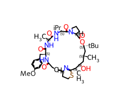 COc1ccc(C[C@@H]2NC(=O)CC[C@@H]3CCSC(=N3)[C@@H](C)[C@@H](O)C[C@H](C)C[C@@H](C(C)(C)C)OC(=O)[C@@H]3CCCN3C(=O)[C@H](C(C)C)NC(=O)[C@H](C)NC2=O)cc1